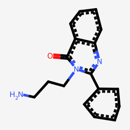 NCCCn1c(-c2ccccc2)nc2ccccc2c1=O